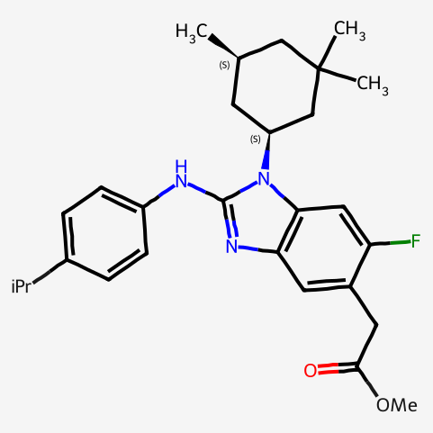 COC(=O)Cc1cc2nc(Nc3ccc(C(C)C)cc3)n([C@H]3C[C@@H](C)CC(C)(C)C3)c2cc1F